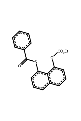 CCOC(=O)Oc1cccc2cccc(SC(=O)c3ccccc3)c12